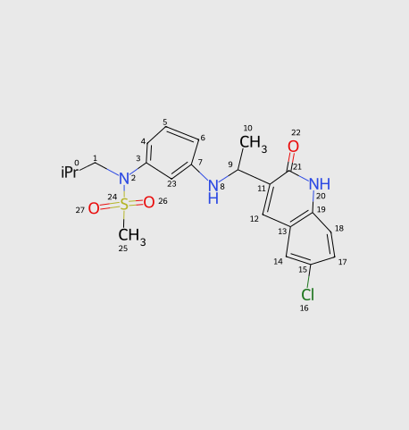 CC(C)CN(c1cccc(NC(C)c2cc3cc(Cl)ccc3[nH]c2=O)c1)S(C)(=O)=O